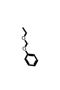 CCO[CH]Oc1ccccc1